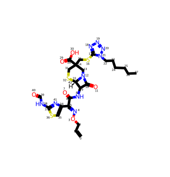 C=CCON=C(C(=O)NC1C(=O)N2CC(CSc3nnnn3CCCCCC)(C(=O)O)CS[C@H]12)c1csc(NC=O)n1